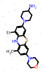 CCc1cc(N2CCC(N)CC2)cc2c1Nc1c(C)cc(N3CCOCC3)cc1S2